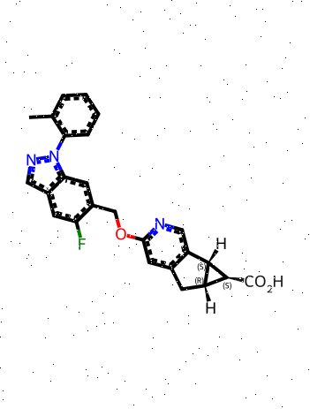 Cc1ccccc1-n1ncc2cc(F)c(COc3cc4c(cn3)[C@H]3[C@@H](C4)[C@@H]3C(=O)O)cc21